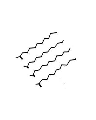 CCCCCCCCCCCC(=O)[O-].CCCCCCCCCCCC(=O)[O-].CCCCCCCCCCCC(=O)[O-].CCCCCCCCCCCC(=O)[O-].[K+].[K+].[K+].[K+]